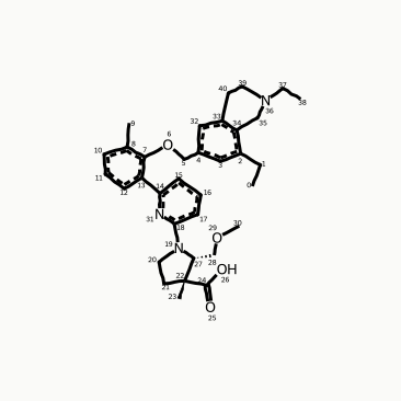 CCc1cc(COc2c(C)cccc2-c2cccc(N3CC[C@@](C)(C(=O)O)[C@H]3COC)n2)cc2c1CN(CC)CC2